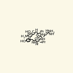 CC(C)C[C@H](NC(=O)[C@@H](N)Cc1ccc(O)cc1)C(=O)N[C@@H](CCCNC(=N)N)C(=O)N[C@H](C(=O)N[C@@H](CCCNC(=N)N)C(=O)O)C(C)C